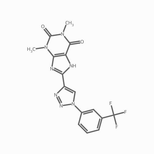 Cn1c(=O)c2[nH]c(-c3cn(-c4cccc(C(F)(F)F)c4)nn3)nc2n(C)c1=O